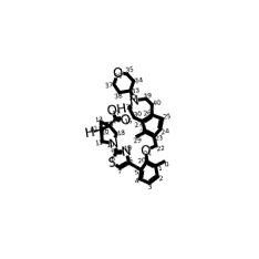 Cc1cccc(-c2csc(N3C[C@@H]4C[C@]4(C(=O)O)C3)n2)c1OCc1ccc2c(c1C)CCN(C1CCOCC1)CC2